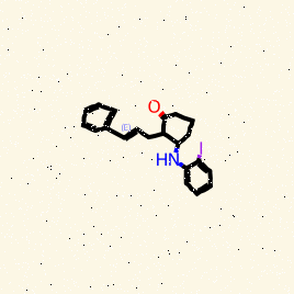 O=C1CCCC(Nc2ccccc2I)C1C/C=C/c1ccccc1